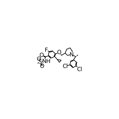 C[C@@H](c1cc(Cl)cc(Cl)c1)N1CCCC(COc2cc(F)c(C(=O)NS(C)(=O)=O)cc2C2CC2)C1